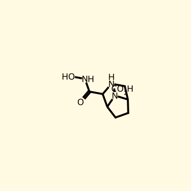 O=C(NO)C1NCC2CCC1N2C(=O)O